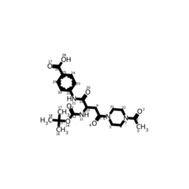 CC(=O)N1CCN(C(=O)CC(NC(=O)OC(C)(C)C)C(=O)Nc2ccc(C(=O)O)cc2)CC1